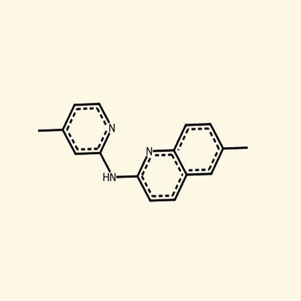 Cc1ccnc(Nc2ccc3cc(C)ccc3n2)c1